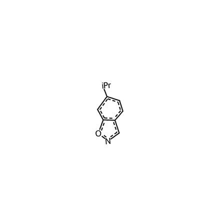 CC(C)c1ccc2cnoc2c1